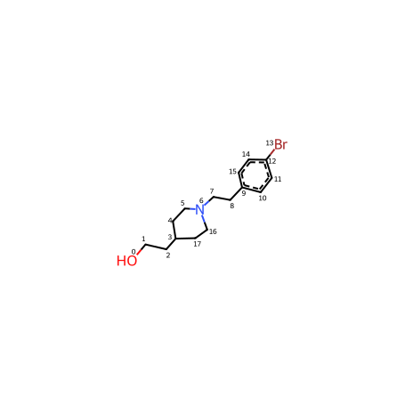 OCCC1CCN(CCc2ccc(Br)cc2)CC1